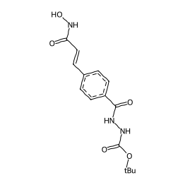 CC(C)(C)OC(=O)NNC(=O)c1ccc(/C=C/C(=O)NO)cc1